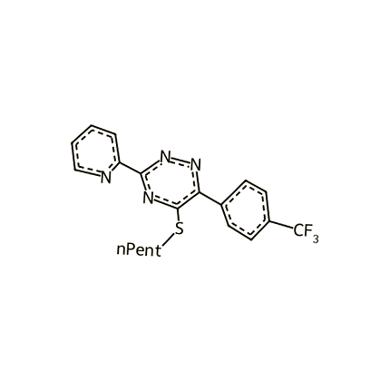 CCCCCSc1nc(-c2ccccn2)nnc1-c1ccc(C(F)(F)F)cc1